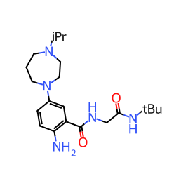 CC(C)N1CCCN(c2ccc(N)c(C(=O)NCC(=O)NC(C)(C)C)c2)CC1